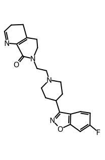 O=C1C2=C(CCC=N2)CCN1CCN1CCC(c2noc3cc(F)ccc23)CC1